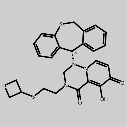 O=C1c2c(O)c(=O)ccn2N([C@H]2c3ccccc3CSc3ccccc32)CN1CCSC1COC1